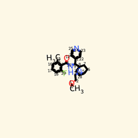 COCCN1C2CCC1(C(NC(=O)c1c(C)cccc1F)c1ccncc1)CC2